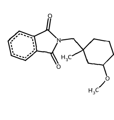 COC1CCCC(C)(CN2C(=O)c3ccccc3C2=O)C1